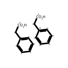 O=C(O)Cc1ccccc1.O=C(O)Cc1ccccc1